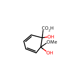 COC1(O)C=CC=CC1(O)C(=O)O